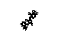 O=C1S/C(=C\c2ncc(Cl)c(O)c2Cl)C(=O)N1Cc1ccccc1C(F)(F)F